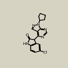 O=C1Nc2ccc(Cl)cc2C1c1ncnc2c1cnn2C1CCCC1